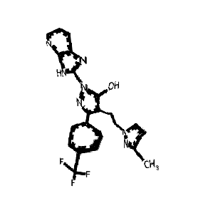 Cc1ccn(CCc2c(-c3ccc(C(F)(F)F)cc3)nn(-c3nc4cccnc4[nH]3)c2O)n1